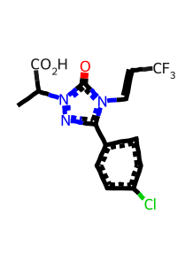 CC(C(=O)O)n1nc(-c2ccc(Cl)cc2)n(/C=C/C(F)(F)F)c1=O